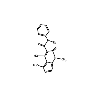 CCN(C(=O)c1c(O)c2c(C)cccc2n(C)c1=O)c1ccccc1